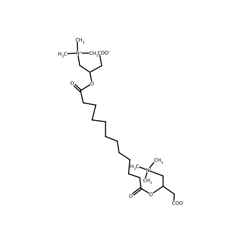 C[N+](C)(C)CC(CC(=O)[O-])OC(=O)CCCCCCCCCCC(=O)OC(CC(=O)[O-])C[N+](C)(C)C